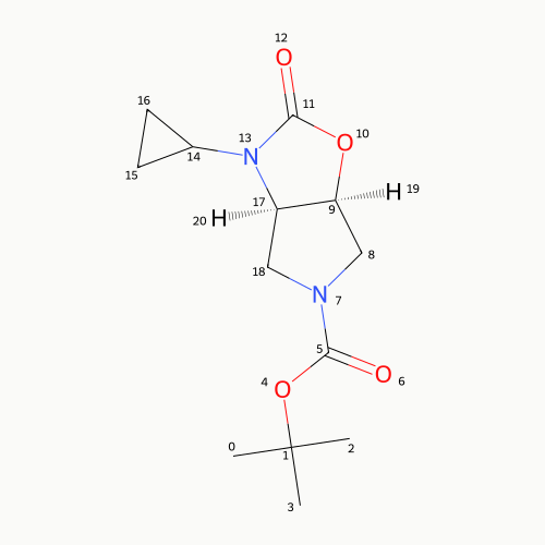 CC(C)(C)OC(=O)N1C[C@@H]2OC(=O)N(C3CC3)[C@@H]2C1